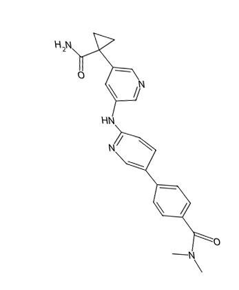 CN(C)C(=O)c1ccc(-c2ccc(Nc3cncc(C4(C(N)=O)CC4)c3)nc2)cc1